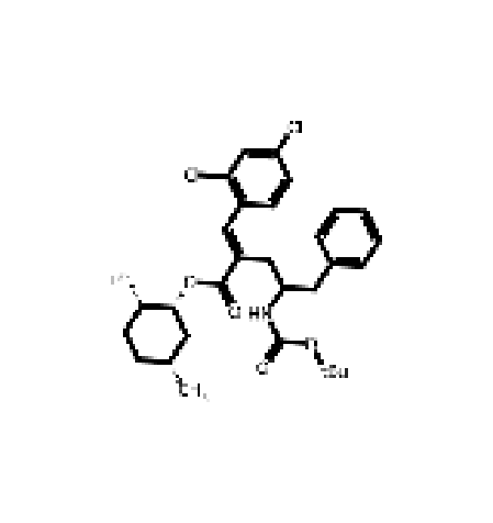 CC(C)[C@H]1CC[C@@H](C)C[C@H]1OC(=O)/C(=C/c1ccc(Cl)cc1Cl)CC(Cc1ccccc1)NC(=O)OC(C)(C)C